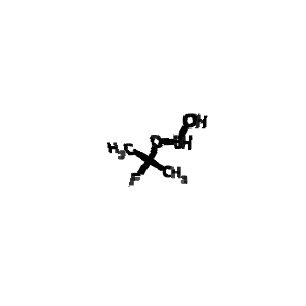 CC(C)(F)OBO